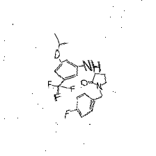 CC(C)Oc1cc(NC2CCN(Cc3ccc(F)cc3)C2=O)cc(C(F)(F)F)c1